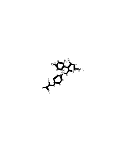 CC(=O)C(Cl)Cc1ccc(NCc2nc(N)cc(N)c2-c2ccc(Cl)cc2)cc1